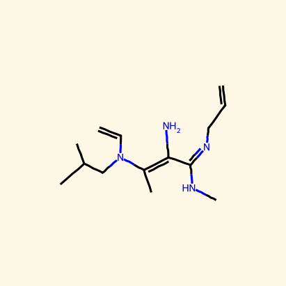 C=CC/N=C(NC)\C(N)=C(/C)N(C=C)CC(C)C